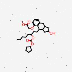 CCCCCC(CCC1c2c(cccc2OCC(=O)OC)CC2CC(O)CC21)OC(=O)OC1CCCC1